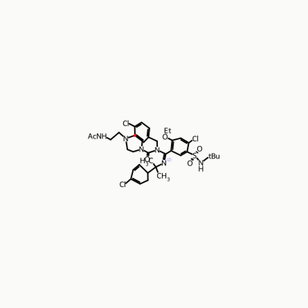 CCOc1cc(Cl)c(S(=O)(=O)NC(C)(C)C)cc1/C(=N/C(C)(C)C1C=CC(Cl)=CC1)N(Cc1ccc(Cl)cc1)C(=O)N1CCN(CCNC(C)=O)CC1